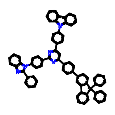 c1ccc(-c2nc3ccccc3n2-c2ccc(-c3nc(-c4ccc(-c5ccc6c(c5)-c5ccccc5[Si]6(c5ccccc5)c5ccccc5)cc4)cc(-c4ccc(-n5c6ccccc6c6ccccc65)cc4)n3)cc2)cc1